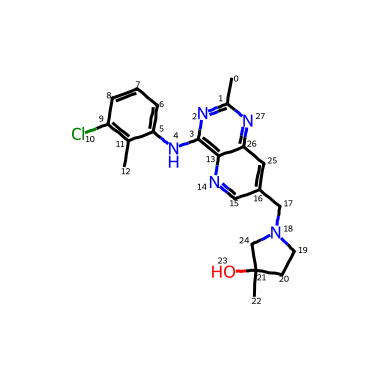 Cc1nc(Nc2cccc(Cl)c2C)c2ncc(CN3CCC(C)(O)C3)cc2n1